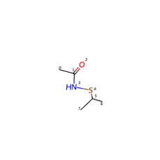 CC(=O)NSC(C)C